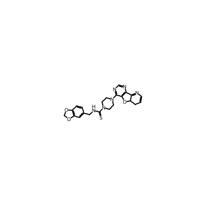 S=C(NCc1ccc2c(c1)OCO2)N1CCN(c2ncnc3c2OC2CC=CN=C32)CC1